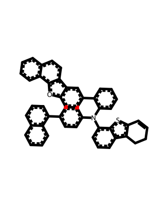 C1=Cc2sc3c(N(c4ccc(-c5cccc6ccccc56)cc4)c4ccccc4-c4ccc5oc6c7ccccc7ccc6c5c4)cccc3c2CC1